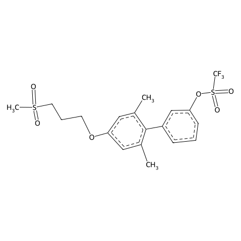 Cc1cc(OCCCS(C)(=O)=O)cc(C)c1-c1cccc(OS(=O)(=O)C(F)(F)F)c1